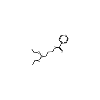 CCO[SiH](CCCOC(=O)c1ccccc1)OCC